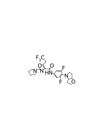 O=C(Nc1cc(F)c(N2CCC3OCCC32)c(F)c1)c1nc(N2CCCC2)oc1CC(F)(F)F